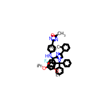 CCOc1cc(OC(C)C)c(F)c(C(Nc2ccc(-c3noc(C)n3)cc2)c2nc(-c3ccccc3C(=O)O)cn2C(c2ccccc2)(c2ccccc2)c2ccccc2)c1